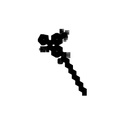 CCCCCCCCCCCCC(=O)Nc1ccc(C([NH])C(c2ccc(C(F)(F)F)cc2)C2CCCC2)cc1